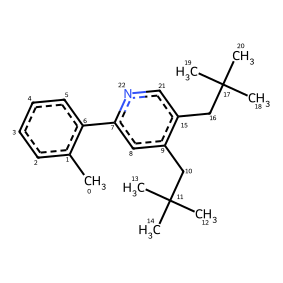 Cc1ccccc1-c1cc(CC(C)(C)C)c(CC(C)(C)C)cn1